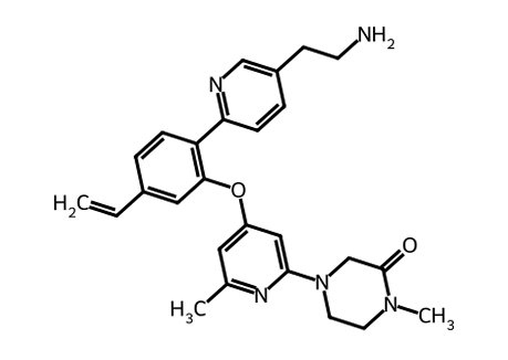 C=Cc1ccc(-c2ccc(CCN)cn2)c(Oc2cc(C)nc(N3CCN(C)C(=O)C3)c2)c1